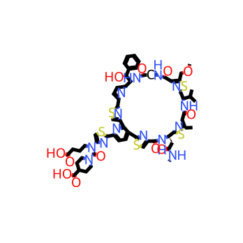 CNC(=O)C[C@@H]1NC(=O)c2csc(n2)-c2ccc(-c3nc(N(CCCC(=O)O)C(=O)N4CCC(C(=O)O)CC4)cs3)nc2-c2csc(n2)C2=CCC(=N2)[C@H]([C@@H](O)c2ccccc2)NC(=O)CNC(=O)c2nc(sc2COC)C(C(C)C)NC(=O)c2nc1sc2C